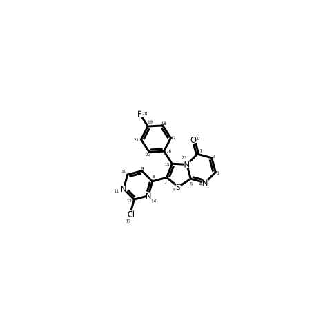 O=c1ccnc2sc(-c3ccnc(Cl)n3)c(-c3ccc(F)cc3)n12